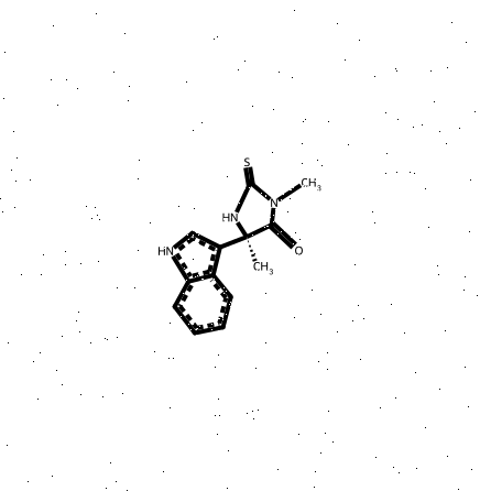 CN1C(=O)[C@@](C)(c2c[nH]c3ccccc23)NC1=S